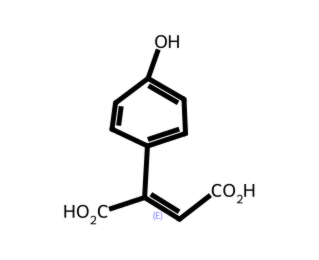 O=C(O)/C=C(/C(=O)O)c1ccc(O)cc1